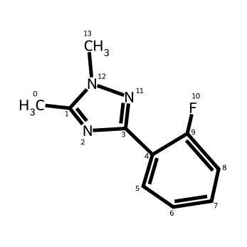 Cc1nc(-c2ccccc2F)nn1C